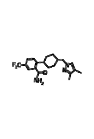 Cc1cn(CC2CCC(c3ccc(C(F)(F)F)cc3C(N)=O)CC2)nc1C